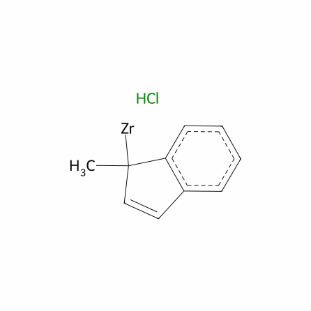 C[C]1([Zr])C=Cc2ccccc21.Cl